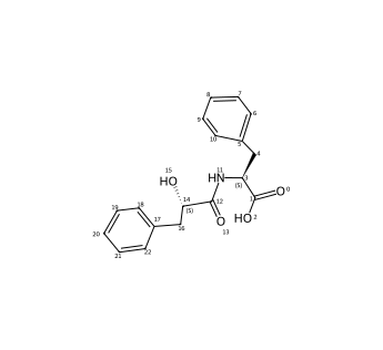 O=C(O)[C@H](Cc1ccccc1)NC(=O)[C@@H](O)Cc1ccccc1